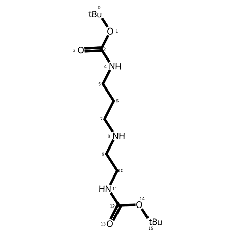 CC(C)(C)OC(=O)NCCCNCCNC(=O)OC(C)(C)C